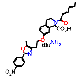 CC(C)(C)N.CC=CC=CC(=O)N1CCc2ccc(OCCc3nc(-c4ccc([N+](=O)[O-])cc4)oc3C)cc2C1C(=O)O